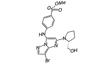 COS(=O)(=O)c1ccc(Nc2cc(N3CCC[C@@H]3CO)nc3c(Br)cnn23)cc1